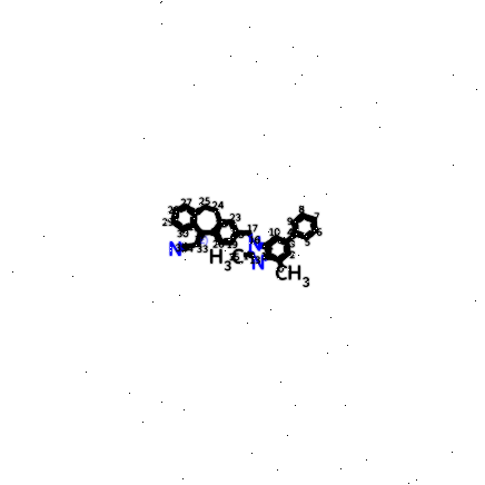 Cc1cc(-c2ccccc2)cc2c1nc(C)n2Cc1ccc2c(c1)CCc1ccccc1/C2=C\C#N